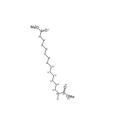 COC(=O)CCCCCCCCCCCCCC(C)C(=O)OC